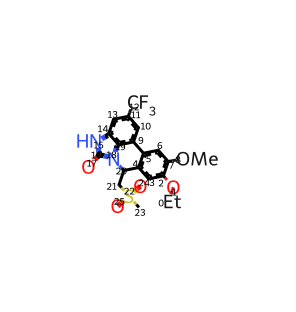 CCOc1cc2c(cc1OC)-c1cc(C(F)(F)F)cc3[nH]c(=O)n(c13)C2CS(C)(=O)=O